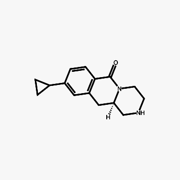 O=C1c2ccc(C3CC3)cc2C[C@@H]2CNCCN12